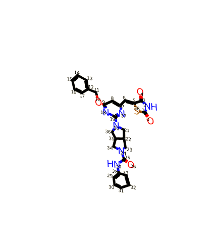 O=C1NC(=O)C(=Cc2cc(OCc3ccccc3)nc(N3CC4CN(C(=O)Nc5ccccc5)CC4C3)n2)S1